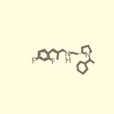 C/C(=C\c1ccc(F)cc1F)CNCC[C@@H]1CCCN1C(C)C1CCCCC1